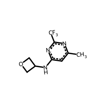 Cc1cc(NC2COC2)nc(C(F)(F)F)n1